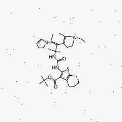 CCN1CCC(/C(=C(\C)n2cccc2)C(C)(C)NC(=O)Nc2sc3c(c2C(=O)OC(C)(C)C)CCCC3)=C(C)C1